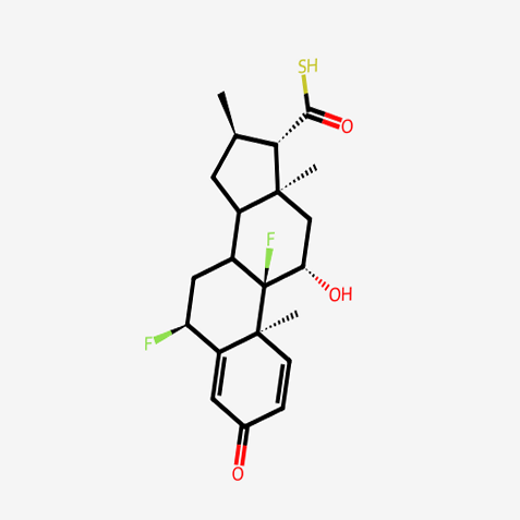 C[C@@H]1CC2C3C[C@H](F)C4=CC(=O)C=C[C@]4(C)[C@@]3(F)[C@@H](O)C[C@]2(C)[C@H]1C(=O)S